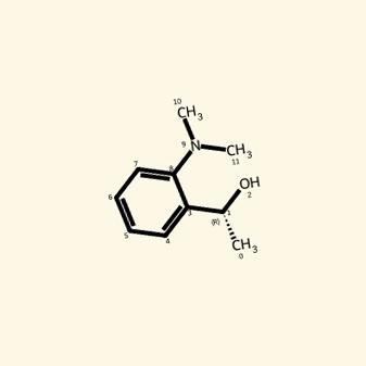 C[C@@H](O)c1ccccc1N(C)C